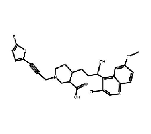 COc1ccc2ncc(Cl)c(C(O)CCC3CCN(CC#Cc4ccc(F)s4)CC3C(=O)O)c2c1